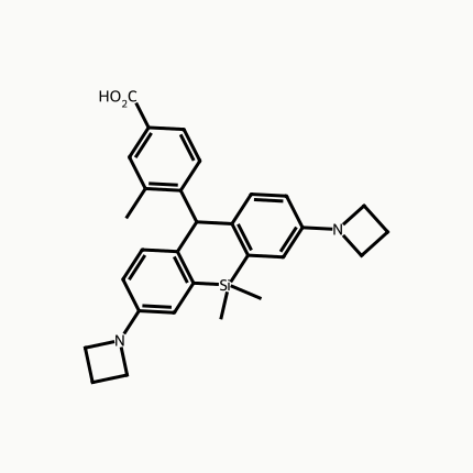 Cc1cc(C(=O)O)ccc1C1c2ccc(N3CCC3)cc2[Si](C)(C)c2cc(N3CCC3)ccc21